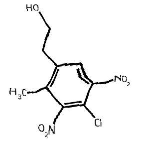 Cc1c(CCO)cc([N+](=O)[O-])c(Cl)c1[N+](=O)[O-]